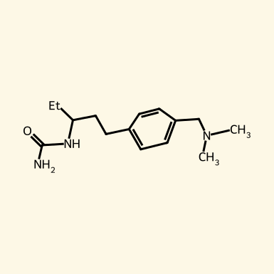 CCC(CCc1ccc(CN(C)C)cc1)NC(N)=O